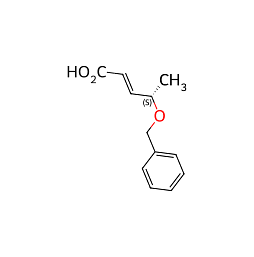 C[C@@H](C=CC(=O)O)OCc1ccccc1